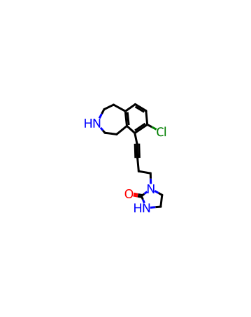 O=C1NCCN1CCC#Cc1c(Cl)ccc2c1CCNCC2